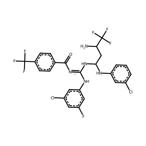 NC(CC(N/C(=N\C(=O)c1ccc(C(F)(F)F)cc1)Nc1cc(F)cc(Cl)c1)Nc1cccc(Cl)c1)C(F)(F)F